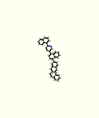 c1ccc2c(-c3ccc(-c4ccc(-c5ccc6cc7c(ccc8ccccc87)cc6c5)c5ccccc45)cn3)cccc2c1